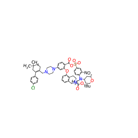 CN(c1ccc(S(=O)(=O)OC(=O)c2ccc(N3CCN(CC4=C(c5ccc(Cl)cc5)CC(C)(C)CC4)CC3)cc2Oc2cccc3c2CCN(C(=O)OC(C)(C)C)C3)cc1[N+](=O)[O-])C1CCOCC1